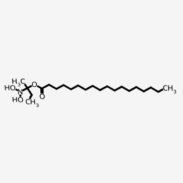 CCCCCCCCCCCCCCCCCC(=O)OC(C)(CC)N(O)O